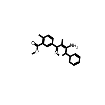 C/N=C(\C(C)=C(\N)C(C)C1C=CC=CC1)c1ccc(C)c(C(=O)OC)c1